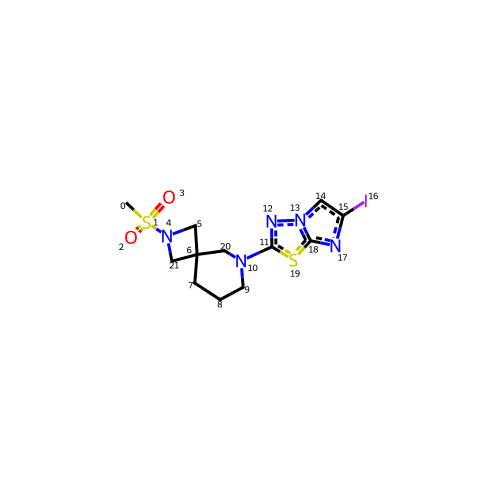 CS(=O)(=O)N1CC2(CCCN(c3nn4cc(I)nc4s3)C2)C1